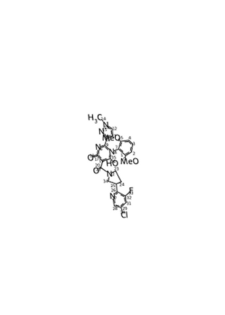 COc1cccc(OC)c1-n1c(-c2ccn(C)n2)nc(=O)c(C(=O)N2CCC(c3ncc(Cl)cc3F)C2)c1O